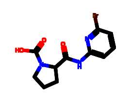 O=C(Nc1cccc(Br)n1)C1CCCN1C(=O)O